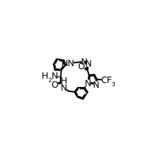 N[C@@H]1C(=O)NCc2cccc(c2)-n2nc(C(F)(F)F)cc2-c2nnc(o2)Nc2ccccc21